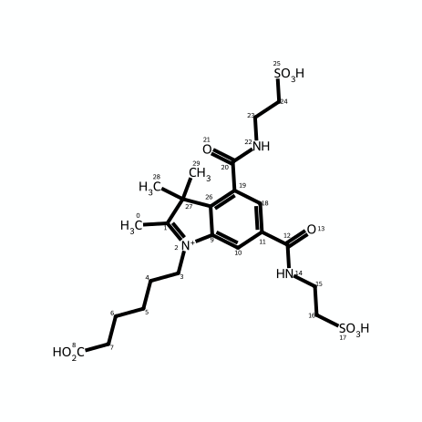 CC1=[N+](CCCCCC(=O)O)c2cc(C(=O)NCCS(=O)(=O)O)cc(C(=O)NCCS(=O)(=O)O)c2C1(C)C